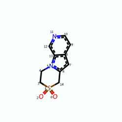 O=S1(=O)CCn2c(cc3ccncc32)C1